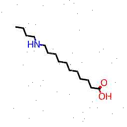 CCCCNCCCCCCCCCCC(=O)O